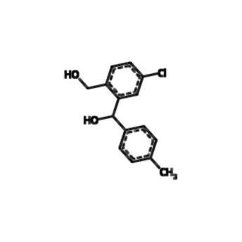 Cc1ccc(C(O)c2cc(Cl)ccc2CO)cc1